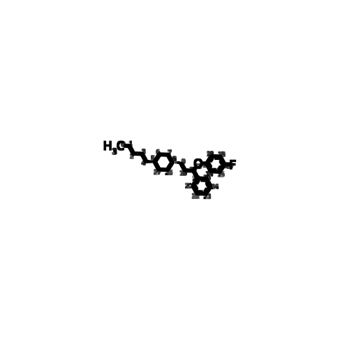 CCCCC[C@H]1CC[C@H](CCC(Oc2ccc(F)cc2)c2ccccc2)CC1